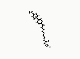 C=CC(=O)OCCCCCCCC1CCC(C2CCC(C#N)CC2)CC1